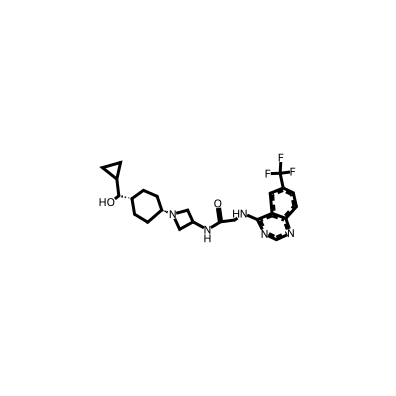 O=C(CNc1ncnc2ccc(C(F)(F)F)cc12)NC1CN([C@H]2CC[C@@H](C(O)C3CC3)CC2)C1